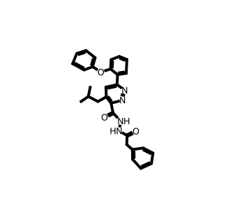 CC(C)Cc1cc(-c2ccccc2Oc2ccccc2)nnc1C(=O)NNC(=O)Cc1ccccc1